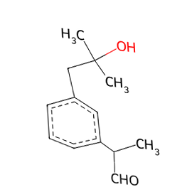 CC(C=O)c1cccc(CC(C)(C)O)c1